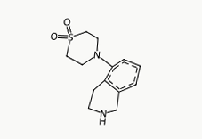 O=S1(=O)CCN(c2cccc3c2CCNC3)CC1